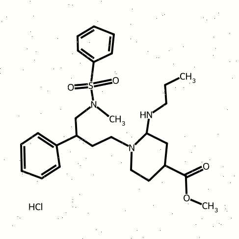 CCCNC1CC(C(=O)OC)CCN1CCC(CN(C)S(=O)(=O)c1ccccc1)c1ccccc1.Cl